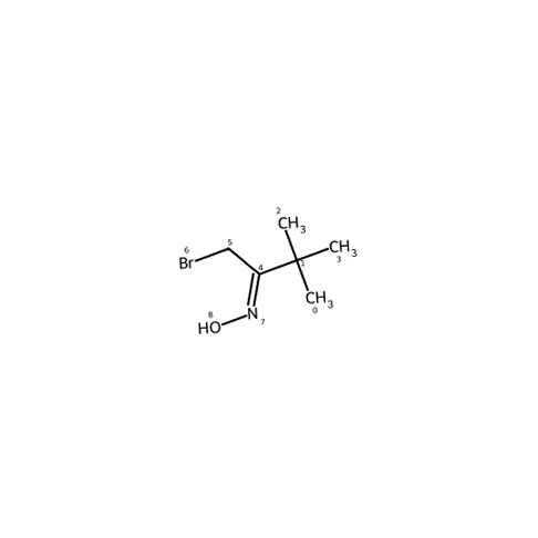 CC(C)(C)C(CBr)=NO